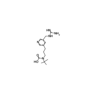 CC(C)(C)N(CCCc1cncc(CNC(=N)N)c1)C(=O)O